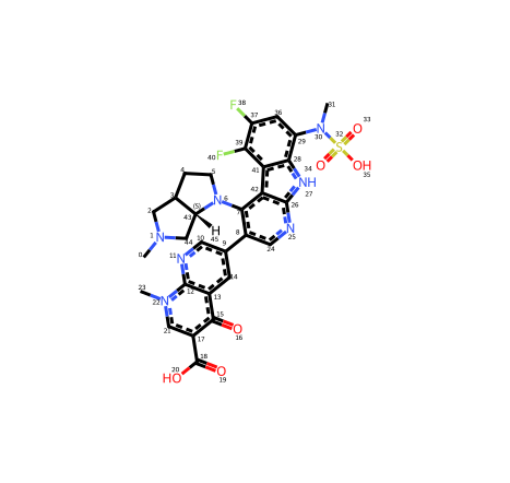 CN1CC2CCN(c3c(-c4cnc5c(c4)c(=O)c(C(=O)O)cn5C)cnc4[nH]c5c(N(C)S(=O)(=O)O)cc(F)c(F)c5c34)[C@@H]2C1